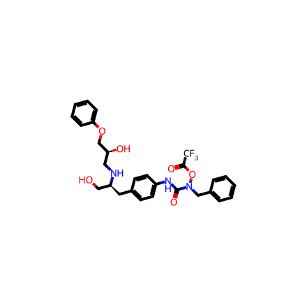 O=C(Nc1ccc(C[C@@H](CO)NC[C@H](O)COc2ccccc2)cc1)N(Cc1ccccc1)OC(=O)C(F)(F)F